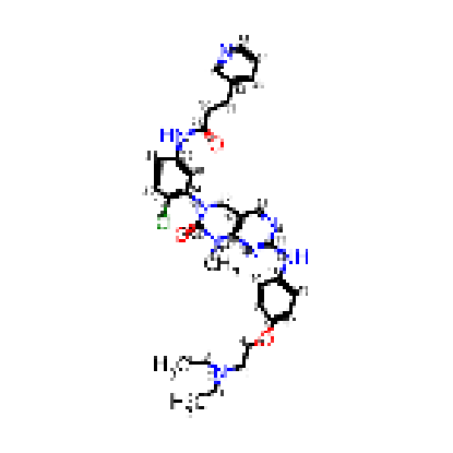 CCN(CC)CCOc1ccc(Nc2ncc3c(n2)N(C)C(=O)N(c2cc(NC(=O)CCc4cccnc4)ccc2Cl)C3)cc1